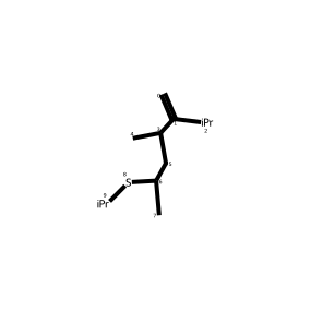 C=C(C(C)C)C(C)CC(C)SC(C)C